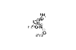 COc1cccc(OCCNC(=O)CN(CC(=O)N2CCCC(N)C2)c2ccncc2-c2ccccc2OC(F)(F)F)c1